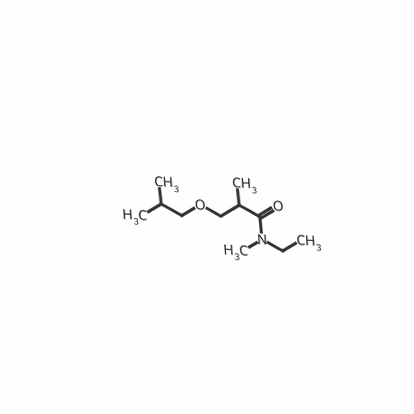 CCN(C)C(=O)C(C)COCC(C)C